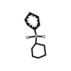 Cl[Si](Cl)(c1ccccc1)C1CCCCC1